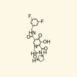 O=C(NCc1cc(F)cc(F)c1)c1cn2c(c(O)c1=O)C(=O)N1[C@H]3CC[C@@H](C3)O[C@H]1C2